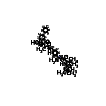 CC(NC(=O)[C@H]1C[C@@H](c2ccccc2)CCN1C(=O)O)C(=O)NCc1ccc(/C(N)=N/OC(=O)C(NC(=O)OC(C)(C)C)C(C)C)cc1